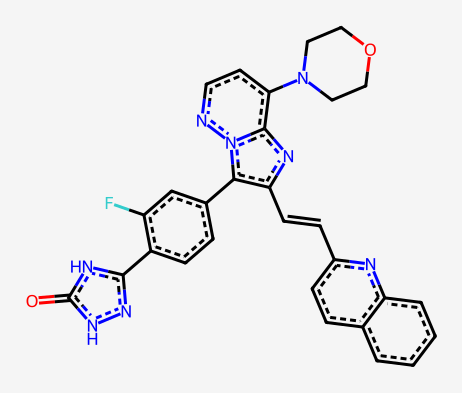 O=c1[nH]nc(-c2ccc(-c3c(/C=C/c4ccc5ccccc5n4)nc4c(N5CCOCC5)ccnn34)cc2F)[nH]1